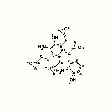 Nc1c(O)c(CC2CO2)c(CC2CO2)c(CC2CO2)c1CCC1CO1.Nc1ccccc1O